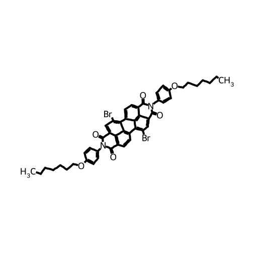 CCCCCCCOc1ccc(N2C(=O)c3ccc4c5c(Br)cc6c7c(ccc(c8c(Br)cc(c3c48)C2=O)c75)C(=O)N(c2ccc(OCCCCCCC)cc2)C6=O)cc1